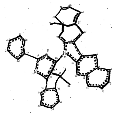 CC12C=c3c(c4cc5ccccc5cc4n3-c3nc(-c4ccccc4)nc4c3C(C)(C)c3ccccc3-4)=CC1=CC=CC2